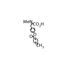 CN[C@@H](Cc1ccc(OC(=O)N2CCN(C)CC2)cc1)C(=O)O